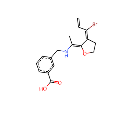 C=C/C(Br)=C1/CCO/C1=C(/C)NCc1cccc(C(=O)O)c1